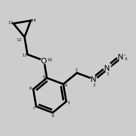 [N-]=[N+]=NCc1ccccc1OCC1CC1